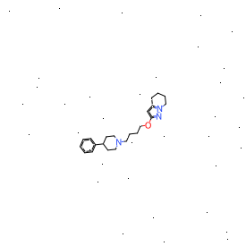 c1ccc(C2CCN(CCCCOc3cc4n(n3)CCCC4)CC2)cc1